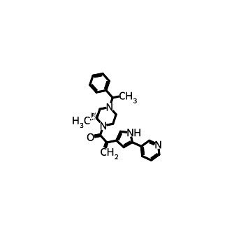 C=C(C(=O)N1CCN(C(C)c2ccccc2)C[C@H]1C)c1c[nH]c(-c2cccnc2)c1